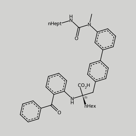 CCCCCCCNC(=O)N(C)c1cccc(-c2ccc(C[C@](CCCCCC)(Nc3ccccc3C(=O)c3ccccc3)C(=O)O)cc2)c1